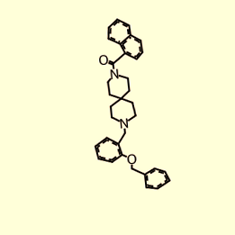 O=C(c1cccc2ccccc12)N1CCC2(CCN(Cc3ccccc3OCc3ccccc3)CC2)CC1